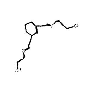 OCCOCC1CCCC(COCCO)C1